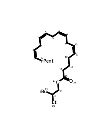 CCCCC/C=C\C/C=C\C/C=C\C/C=C\CCCC(=O)OCC(CC)CCCC